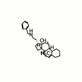 C[C@]12CC[C@H]3[C@@H](CC=C4CCCC[C@@]43C)[C@@H]1CC[C@@H]2CCNCc1ccccc1